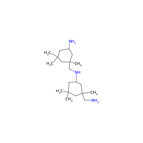 CC1(C)CC(N)CC(C)(CNC2CC(C)(C)CC(C)(CN)C2)C1